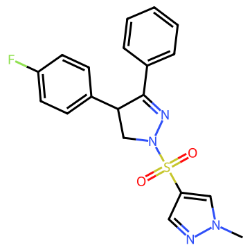 Cn1cc(S(=O)(=O)N2CC(c3ccc(F)cc3)C(c3ccccc3)=N2)cn1